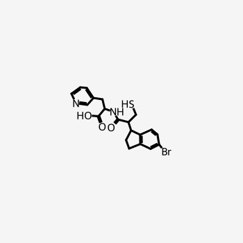 O=C(O)C(Cc1cccnc1)NC(=O)C(CS)C1CCc2cc(Br)ccc21